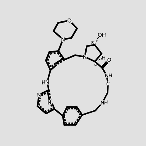 O=C1NCCNCc2ccc(cc2)-c2ccnc(n2)Nc2ccc(N3CCOCC3)c(c2)CN2C[C@H](O)C[C@@H]12